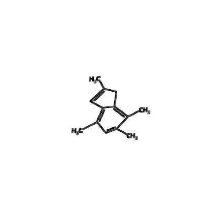 CC1=Cc2c(C)cc(C)c(C)c2C1